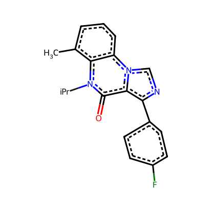 Cc1cccc2c1n(C(C)C)c(=O)c1c(-c3ccc(F)cc3)ncn12